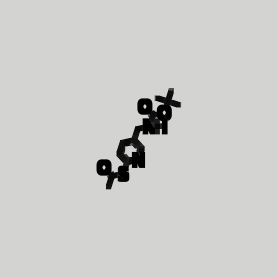 CC(=O)Sc1ccc(CNC(=O)OC(C)(C)C)cn1